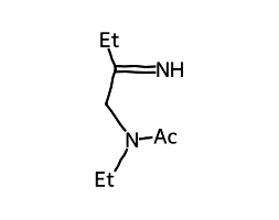 CCC(=N)CN(CC)C(C)=O